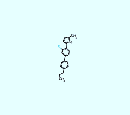 CCCc1ccc(-c2ccc(-c3ccc(C)[se]3)c(F)c2)cc1